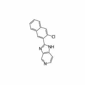 Clc1cc2ccccc2cc1-c1nc2cnccc2[nH]1